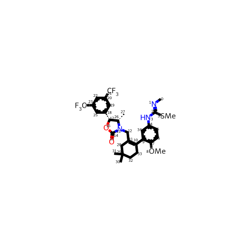 C/N=C(/Nc1ccc(OC)c(C2=C(CN3C(=O)O[C@H](c4cc(C(F)(F)F)cc(C(F)(F)F)c4)[C@@H]3C)CC(C)(C)CC2)c1)SC